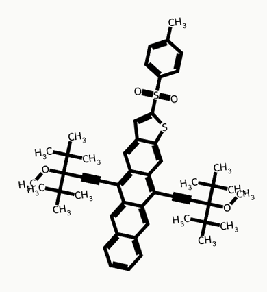 COC(C#Cc1c2cc3ccccc3cc2c(C#CC(OC)(C(C)(C)C)C(C)(C)C)c2cc3sc(S(=O)(=O)c4ccc(C)cc4)cc3cc12)(C(C)(C)C)C(C)(C)C